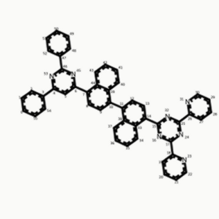 c1ccc(-c2cc(-c3ccc(-c4ccc(-c5nc(-c6ccccn6)nc(-c6ccccn6)n5)c5ccccc45)c4ccccc34)nc(-c3ccccc3)n2)cc1